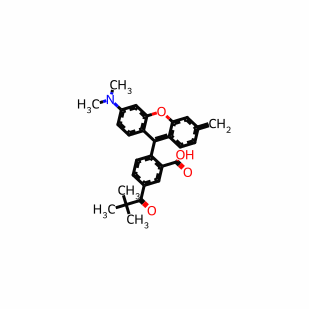 C=c1ccc2c(c1)Oc1cc(N(C)C)ccc1C=2c1ccc(C(=O)C(C)(C)C)cc1C(=O)O